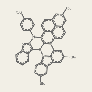 CC(C)(C)c1ccc(N2c3sc4ccccc4c3B3c4c(c5ccc6cc(C(C)(C)C)cc7ccc(c42)c5c67)-c2cc(C(C)(C)C)cc4c5cc(C(C)(C)C)ccc5n3c24)cc1